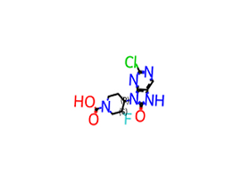 O=C(O)N1CC[C@@H](n2c(=O)[nH]c3cnc(Cl)nc32)[C@@H](F)C1